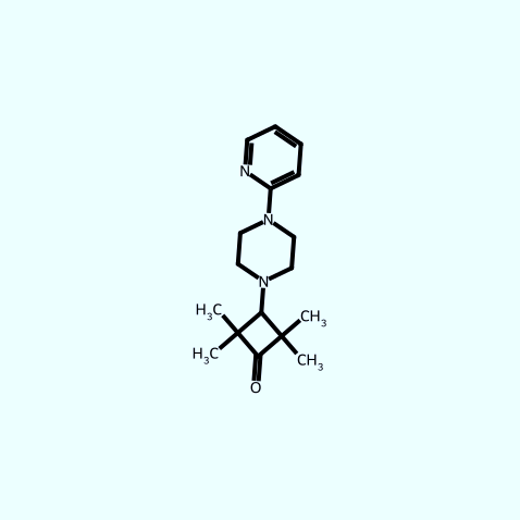 CC1(C)C(=O)C(C)(C)C1N1CCN(c2ccccn2)CC1